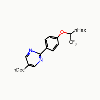 CCCCCCCCCCc1cnc(-c2ccc(OC(CCCCCC)C(F)(F)F)cc2)nc1